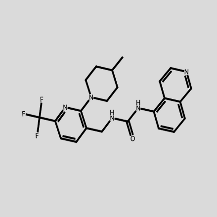 CC1CCN(c2nc(C(F)(F)F)ccc2CNC(=O)Nc2cccc3cnccc23)CC1